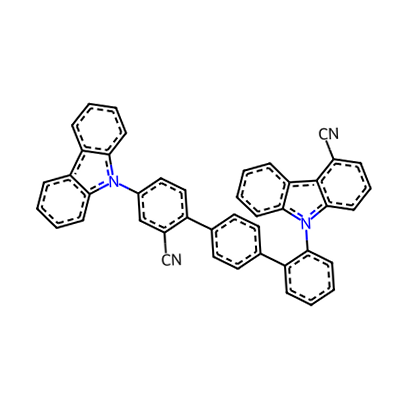 N#Cc1cc(-n2c3ccccc3c3ccccc32)ccc1-c1ccc(-c2ccccc2-n2c3ccccc3c3c(C#N)cccc32)cc1